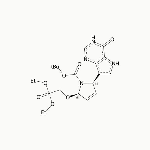 CCOP(=O)(CO[C@@H]1C=C[C@H](c2c[nH]c3c(=O)[nH]cnc23)N1C(=O)OC(C)(C)C)OCC